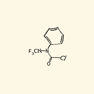 O=C(Cl)N(NC(F)(F)F)c1ccccc1